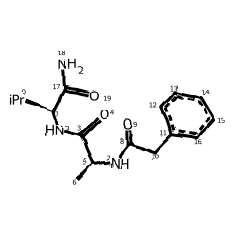 CC(C)[C@H](NC(=O)[C@H](C)NC(=O)Cc1ccccc1)C(N)=O